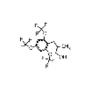 CC(CO)Cc1c(OC(F)(F)F)cc(OC(F)(F)F)cc1OC(F)(F)F